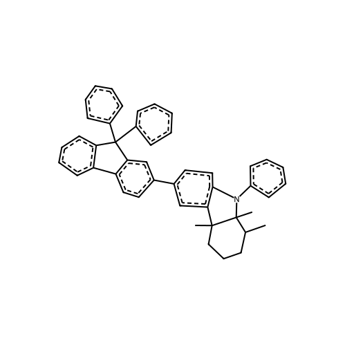 CC1CCCC2(C)c3cc(-c4ccc5c(c4)C(c4ccccc4)(c4ccccc4)c4ccccc4-5)ccc3N(c3ccccc3)C12C